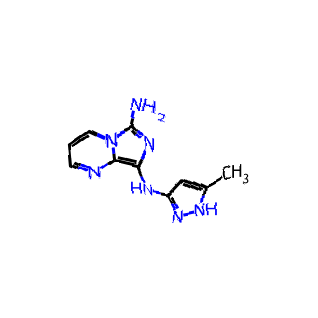 Cc1cc(Nc2nc(N)n3cccnc23)n[nH]1